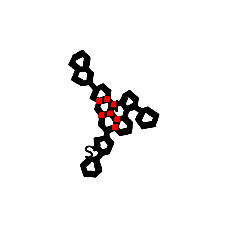 c1ccc(-c2ccccc2-c2c(-c3ccccc3)cccc2N(c2ccc(-c3ccc4ccccc4c3)cc2)c2ccc(-c3ccc4c(c3)sc3ccccc34)cc2)cc1